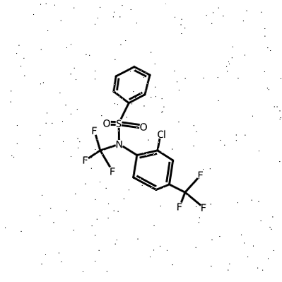 O=S(=O)(c1ccccc1)N(c1ccc(C(F)(F)F)cc1Cl)C(F)(F)F